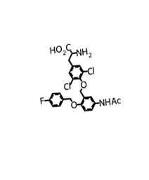 CC(=O)Nc1ccc(OCc2ccc(F)cc2)c(COc2c(Cl)cc(C[C@H](N)C(=O)O)cc2Cl)c1